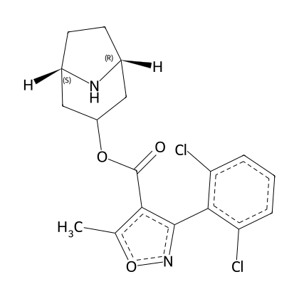 Cc1onc(-c2c(Cl)cccc2Cl)c1C(=O)OC1C[C@H]2CC[C@@H](C1)N2